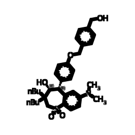 CCCCC1(CCCC)CS(=O)(=O)c2ccc(N(C)C)cc2[C@@H](c2ccc(OCc3ccc(CO)cc3)cc2)[C@H]1O